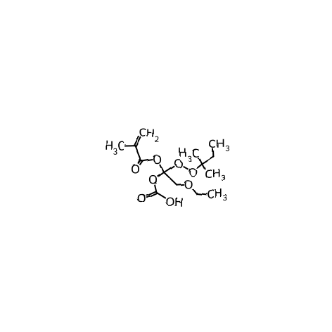 C=C(C)C(=O)OC(COCC)(OOC(C)(C)CC)OC(=O)O